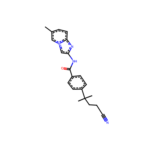 Cc1ccc2nc(NC(=O)c3ccc(C(C)(C)CCC#N)cc3)cn2c1